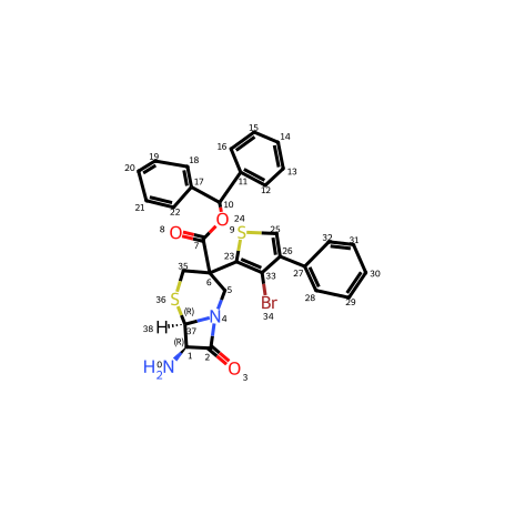 N[C@@H]1C(=O)N2CC(C(=O)OC(c3ccccc3)c3ccccc3)(c3scc(-c4ccccc4)c3Br)CS[C@H]12